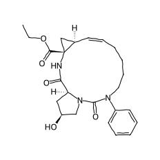 CCOC(=O)[C@@]12C[C@H]1/C=C\CCCCN(c1ccccc1)C(=O)N1C[C@@H](O)C[C@H]1C(=O)N2